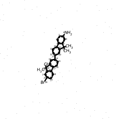 CC1(C)c2cc(N)ccc2-c2ccc(-c3ccc4c(c3)C(C)(C)c3cc(Br)ccc3-4)cc21